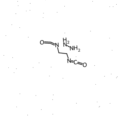 NN.O=C=NCCN=C=O